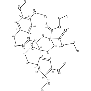 CCOC(=O)C1(C(=O)OCC)CCC2(NCCc3cc(OC)c(OC)cc32)C(C2=NCCc3cc(OC)c(OC)cc32)C1